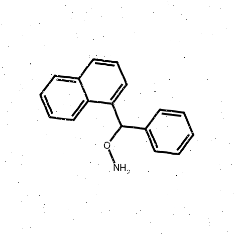 NOC(c1ccccc1)c1cccc2ccccc12